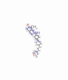 Cn1c(=O)ncc2cnc(Nc3ccc(N4CCC(CCCN5CCOCC5)CC4)cc3)nc21